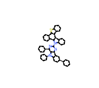 c1ccc(-c2ccc3c(c2)c2nc(-n4c5ccccc5c5c6c7ccccc7sc6c6ccccc6c54)nc(-c4ccccc4)c2n3-c2ccccc2)cc1